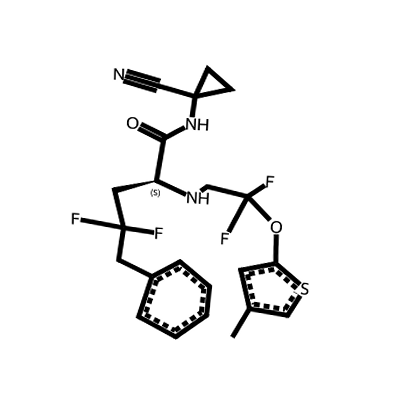 Cc1csc(OC(F)(F)CN[C@@H](CC(F)(F)Cc2ccccc2)C(=O)NC2(C#N)CC2)c1